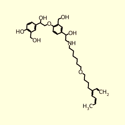 C=C/C(=C\C=C/C)CCCCOCCCCCCNCC(O)c1ccc(OCC(O)c2ccc(O)c(CO)c2)c(CO)c1